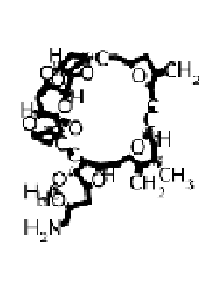 C=C1CC2CC[C@@]34C[C@H]5OC6C(O3)[C@H]3OC(CCC3O[C@H]6C5O4)[C@@H](C=O)CCC3[C@@H](OC)C(CC(O)CN)O[C@H]3CC3O[C@@H](CCC1O2)C[C@@H](C)C3=C